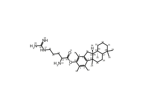 Cc1c(C)c2c(c(C)c1OC(=O)C(N)CCCNC(=N)N)C[C@H]1C2(C)CCC2C(C)(C)CCC[C@@]21C